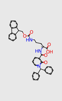 O=C(NCCC[C@H](NC(=O)c1cccn(C(c2ccccc2)c2ccccc2)c1=O)C(=O)O)OCC1c2ccccc2-c2ccccc21